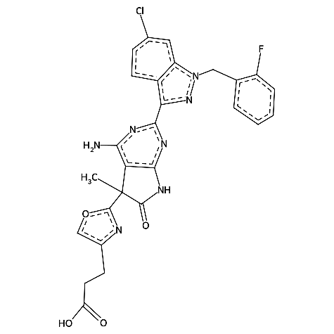 CC1(c2nc(CCC(=O)O)co2)C(=O)Nc2nc(-c3nn(Cc4ccccc4F)c4cc(Cl)ccc34)nc(N)c21